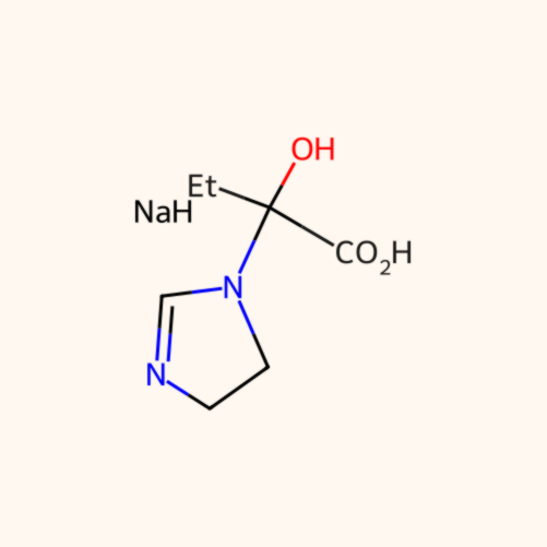 CCC(O)(C(=O)O)N1C=NCC1.[NaH]